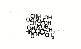 CC(=O)C(C)=O.Cc1cc2nc3c(=O)[nH]c(=O)nc-3n(C[C@H](O)[C@H](O)[C@H](O)CO)c2cc1C